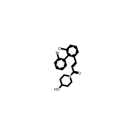 O=C(/C=C/c1cc[c]c(Cl)c1-c1ccccc1Br)N1CCC(O)CC1